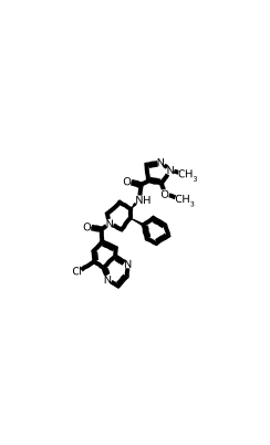 COc1c(C(=O)N[C@@H]2CCN(C(=O)c3cc(Cl)c4nccnc4c3)C[C@@H]2c2ccccc2)cnn1C